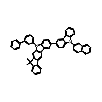 CC1(C)c2ccccc2-c2cc3c4cc(-c5ccc6c(c5)c5ccccc5n6-c5ccc6ccccc6c5)ccc4n(-c4cccc(-c5ccccc5)c4)c3cc21